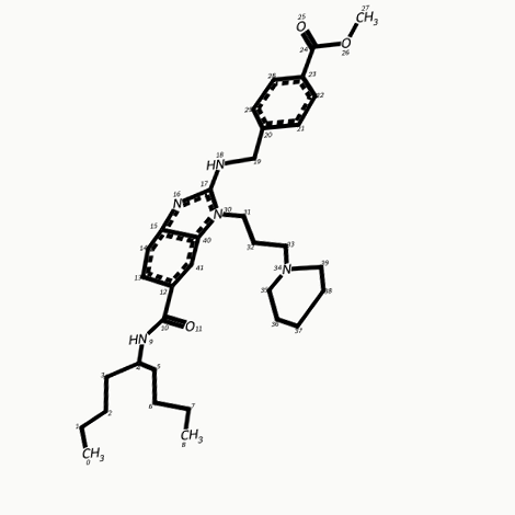 CCCCC(CCCC)NC(=O)c1ccc2nc(NCc3ccc(C(=O)OC)cc3)n(CCCN3CCCCC3)c2c1